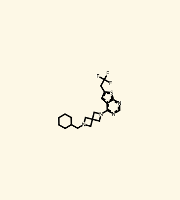 FC(F)(F)Cc1cc2c(N3CC4(CN(CC5CCCCC5)C4)C3)ncnc2s1